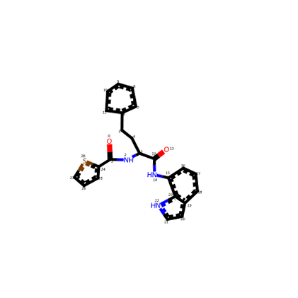 O=C(NC(CCc1ccccc1)C(=O)Nc1cccc2cc[nH]c12)c1cccs1